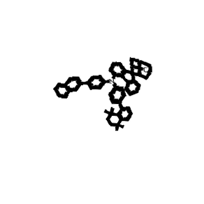 CC1(C)CCC(C)(C)c2c(-c3ccc(N(c4ccc(-c5ccc6ccccc6c5)cc4)c4cccc5c4-c4ccccc4C54C5CC6CC7CC4C75C6)cc3)cccc21